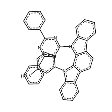 O=S(=O)(O)c1cccc(-n2c3ccccc3c3ccc4c5ccccc5n(-c5nc(-c6ccccc6)nc(-c6ccccc6)n5)c4c32)c1